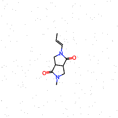 C/C=C/N1CC2C(=O)N(C)CC2C1=O